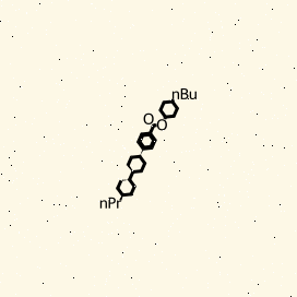 CCCCC1CCC(OC(=O)c2ccc([C@H]3CC[C@H]([C@H]4CC[C@H](CCC)CC4)CC3)cc2)CC1